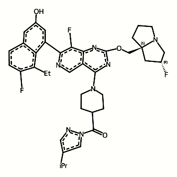 CCc1c(F)ccc2cc(O)cc(-c3ncc4c(N5CCC(C(=O)n6cc(C(C)C)cn6)CC5)nc(OC[C@@]56CCCN5C[C@H](F)C6)nc4c3F)c12